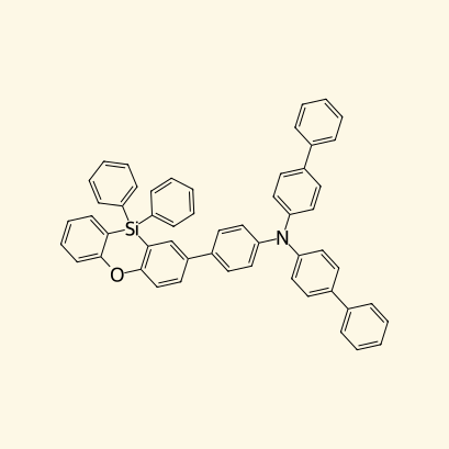 c1ccc(-c2ccc(N(c3ccc(-c4ccccc4)cc3)c3ccc(-c4ccc5c(c4)[Si](c4ccccc4)(c4ccccc4)c4ccccc4O5)cc3)cc2)cc1